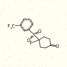 O=C1CCC(F)(S(=O)(=O)c2cccc(C(F)(F)F)c2)CC1